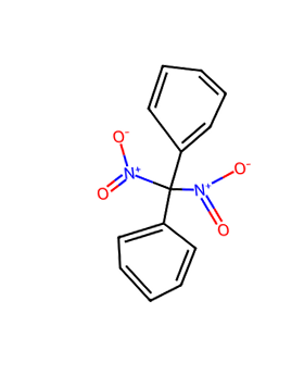 O=[N+]([O-])C(c1ccccc1)(c1ccccc1)[N+](=O)[O-]